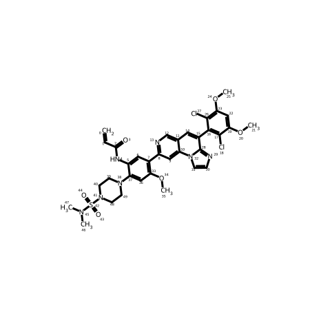 C=CC(=O)Nc1cc(-c2cc3c(cn2)cc(-c2c(Cl)c(OC)cc(OC)c2Cl)c2nccn23)c(OC)cc1N1CCN(S(=O)(=O)N(C)C)CC1